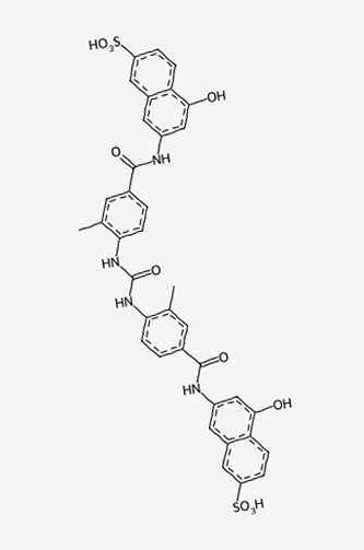 Cc1cc(C(=O)Nc2cc(O)c3ccc(S(=O)(=O)O)cc3c2)ccc1NC(=O)Nc1ccc(C(=O)Nc2cc(O)c3ccc(S(=O)(=O)O)cc3c2)cc1C